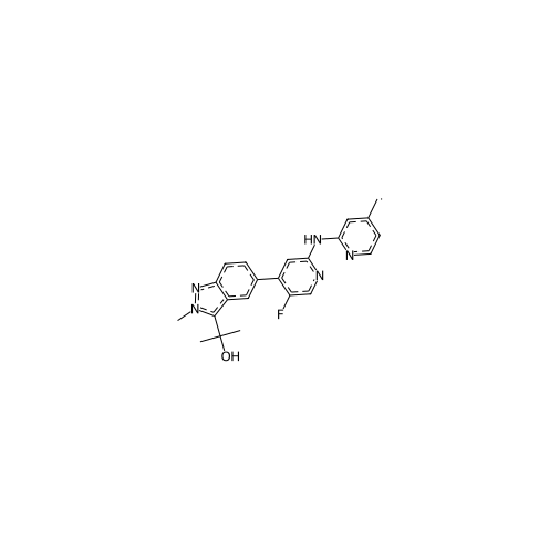 [CH2]c1ccnc(Nc2cc(-c3ccc4nn(C)c(C(C)(C)O)c4c3)c(F)cn2)c1